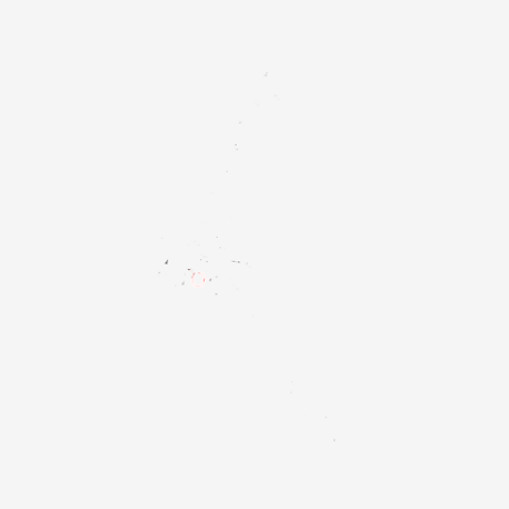 CCCCCCCCCCCCCCCCC(C)(CC(C)C)OC(C)(CCCCCCCCCCCCCCCC)CC(C)C